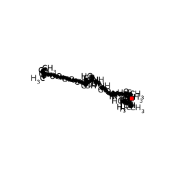 CCC(C)(OCC(CO)NC(=O)CCNC(=O)CCOCc1cn(CCCNC(=O)C(NC(=O)C(CC(C)C)C(O)C(=O)NO)C(C)(C)C)nn1)P(=O)(O)OCCOCCOCCOCCOCCOCCOC1(CC)OP1(=O)OC